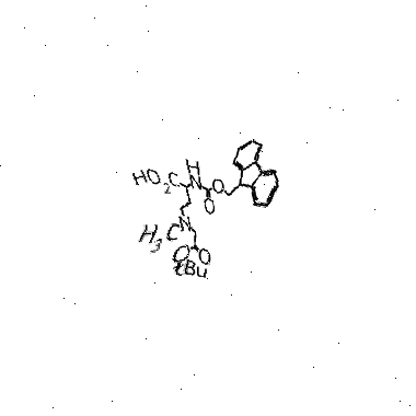 CN(CCC(NC(=O)OCC1c2ccccc2-c2ccccc21)C(=O)O)CC(=O)OC(C)(C)C